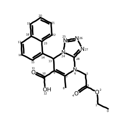 CCOC(=O)CN1C(C)=C(C(=O)O)C(c2cccc3ccccc23)n2nnnc21